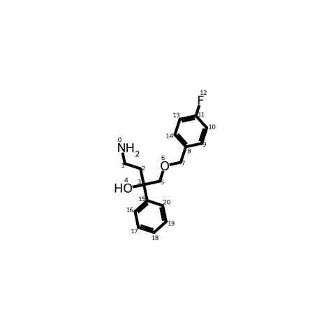 NCCC(O)(COCc1ccc(F)cc1)c1ccccc1